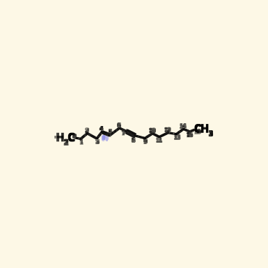 [CH2]CCC/C=C/CC#CCCCCCCCC